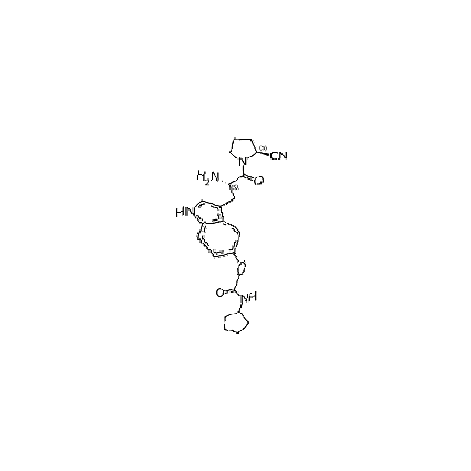 N#C[C@@H]1CCCN1C(=O)[C@@H](N)Cc1c[nH]c2ccc(OC(=O)NC3CCCC3)cc12